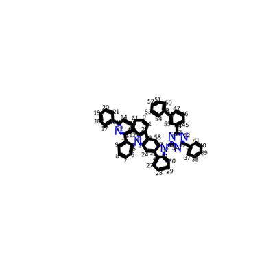 C1=Cc2c(n(-c3ccccc3-c3cccc(-c4ccccc4)n3)c3cc4c5ccccc5n(-c5nc(-c6ccccc6)nc(-c6cccc(-c7ccccc7)c6)n5)c4cc23)CC1